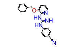 N#Cc1ccc(NC(=N)Nc2ncccc2OCc2ccccc2)cc1